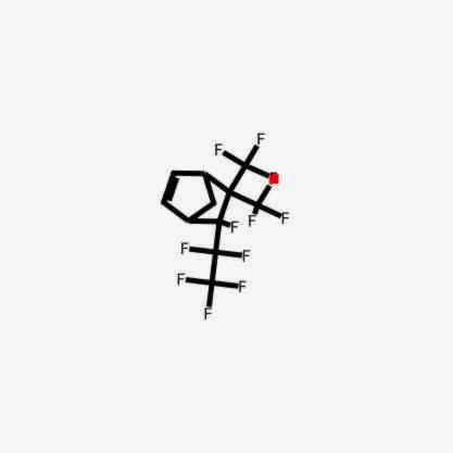 FC(F)(F)C(F)(F)C1(F)C2C=CC(C2)C1(C(F)(F)F)C(F)(F)F